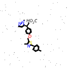 Cc1ccc(-c2nc(C)c(COc3ccc(C(CC(=O)O)c4ccnn4C)cc3)s2)cc1